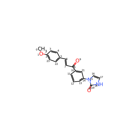 COc1ccc(/C=C/C(=O)c2cccc(-n3cc[nH]c3=O)c2)cc1